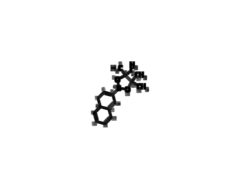 CC1(C)OB(C2=CCC3C=CC=CC3=C2)OC1(C)C